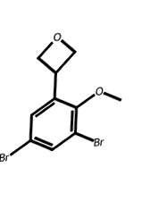 COc1c(Br)cc(Br)cc1C1COC1